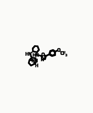 FC(F)(F)Oc1ccc(-c2cnc(N[C@@H]3CCCC[C@H]3NC3CC[C@H]4CCC3N4)o2)cc1